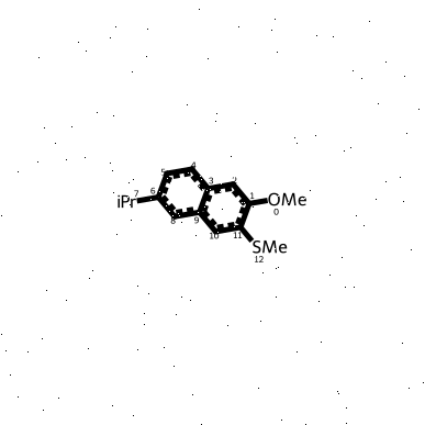 COc1cc2ccc(C(C)C)cc2cc1SC